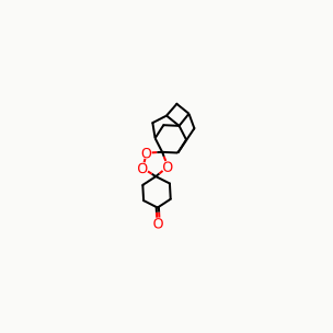 O=C1CCC2(CC1)OOC1(O2)C2CC3CC4CC1CC34C2